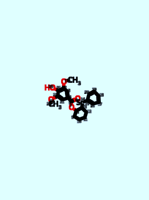 COc1cc(C(=O)OC2CCCCC2[Se]c2ccccc2)cc(OC)c1O